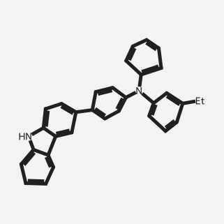 CCc1cccc(N(c2ccccc2)c2ccc(-c3ccc4[nH]c5ccccc5c4c3)cc2)c1